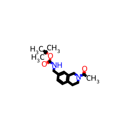 CC(=O)N1CCc2ccc(CNC(=O)OC(C)(C)C)cc2C1